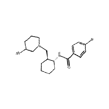 CCCC1CCCN(C[C@@H]2CCCC[C@H]2NC(=O)c2ccc(Br)cc2)C1